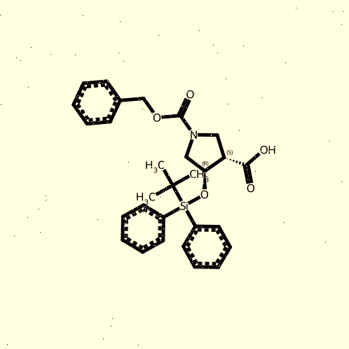 CC(C)(C)[Si](O[C@H]1CN(C(=O)OCc2ccccc2)C[C@@H]1C(=O)O)(c1ccccc1)c1ccccc1